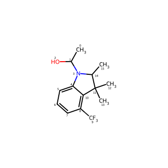 CC(O)N1c2cccc(C(F)(F)F)c2C(C)(C)C1C